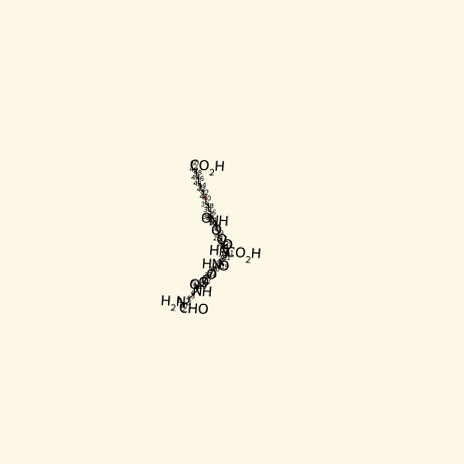 N[C@H](C=O)CCCCNC(=O)COCCOCCNC(=O)CC[C@H](NC(=O)COCCOCCNC(=O)CCCCCCCCCCCCCCC(=O)O)C(=O)O